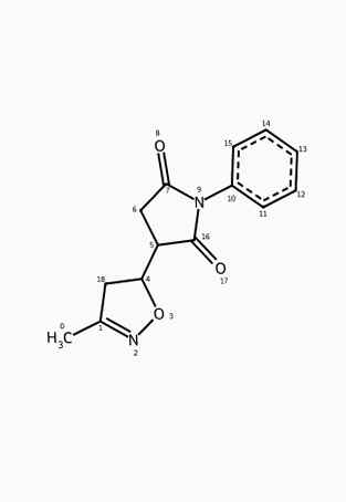 CC1=NOC(C2CC(=O)N(c3ccccc3)C2=O)C1